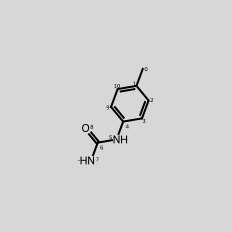 Cc1ccc(NC([NH])=O)cc1